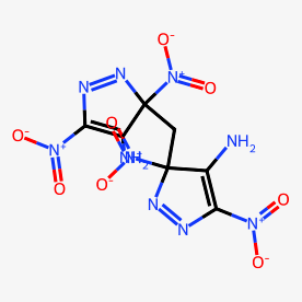 NC1=C([N+](=O)[O-])N=NC1(CC1([N+](=O)[O-])N=NC([N+](=O)[O-])=C1N)[N+](=O)[O-]